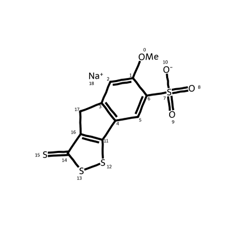 COc1cc2c(cc1S(=O)(=O)[O-])-c1ssc(=S)c1C2.[Na+]